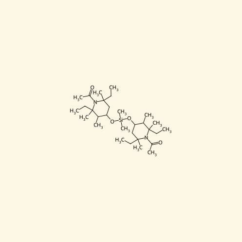 CCC1(C)CC(O[Si](C)(C)OC2CC(C)(CC)N(C(C)=O)C(C)(CC)C2C)C(C)C(C)(CC)N1C(C)=O